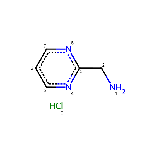 Cl.NCc1ncccn1